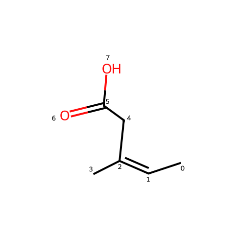 CC=C(C)CC(=O)O